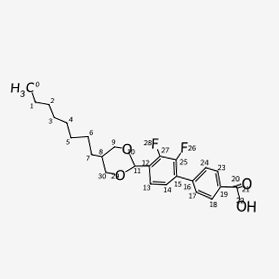 CCCCCCCCC1COC(c2ccc(-c3ccc(C(=O)O)cc3)c(F)c2F)OC1